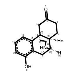 O=C1CC[C@H]2[C@H]3Cc4c(O)cccc4[C@@]2(CCN3)C1